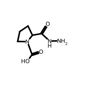 NNC(=O)C1CCCN1C(=O)O